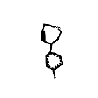 Fc1ccc(C2C#CCNCC2)cc1